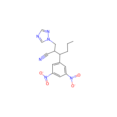 CCCC(c1cc([N+](=O)[O-])cc([N+](=O)[O-])c1)C(C#N)Cn1cncn1